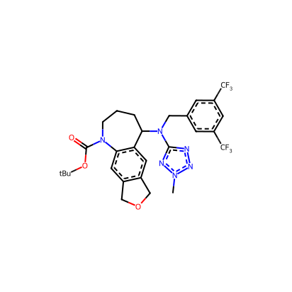 Cn1nnc(N(Cc2cc(C(F)(F)F)cc(C(F)(F)F)c2)C2CCCN(C(=O)OC(C)(C)C)c3cc4c(cc32)COC4)n1